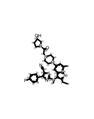 CCc1nn2c(C)cc(N3CCN(CC(=O)N4CC[C@H](O)C4)CC3)cc2c1N(C)c1nc(-c2ccc(F)cc2)c(C#N)s1